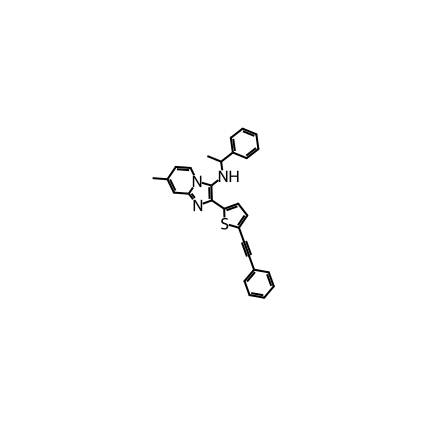 Cc1ccn2c(NC(C)c3ccccc3)c(-c3ccc(C#Cc4ccccc4)s3)nc2c1